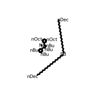 CCCCCCCCCCCCCCCCCCCCCCCCCCCCC[CH2][Pd][CH2]CCCCCCCCCCCCCCCCCCCCCCCCCCCCC.CCCCCCCCc1cc(CCCCCCCC)cc(C2=C(CCCC)C(CCCC)=C(c3cc(CCCC)cc(CCCC)c3)[N+]2=[N-])c1